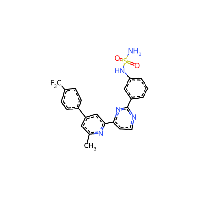 Cc1cc(-c2ccc(C(F)(F)F)cc2)cc(-c2ccnc(-c3cccc(NS(N)(=O)=O)c3)n2)n1